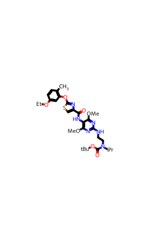 CCOc1ccc(C)c(Oc2nc(C(=O)Nc3c(OC)nc(NCCN(C(=O)OC(C)(C)C)C(C)C)nc3OC)cs2)c1